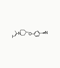 CC(=CI)N1CCC(COc2ccc(C#N)cc2)CC1